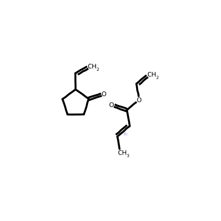 C=CC1CCCC1=O.C=COC(=O)/C=C/C